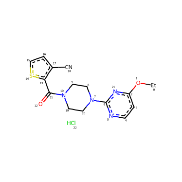 CCOc1ccnc(N2CCN(C(=O)c3sccc3C#N)CC2)n1.Cl